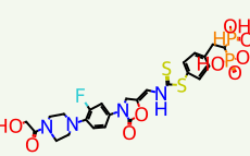 O=C(CO)N1CCN(c2ccc(N3C/C(=C/NC(=S)Sc4ccc(CC([PH](=O)O)P(=O)(O)O)cc4)OC3=O)cc2F)CC1